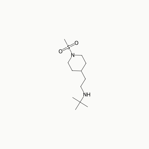 CC(C)(C)NCCC1CCN(S(C)(=O)=O)CC1